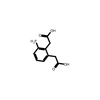 O=C(O)Cc1cccc(P)c1CC(=O)O